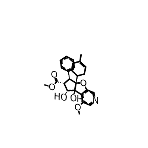 COC(=O)[C@H]1[C@@H](O)[C@@]2(O)c3c(OC)cncc3O[C@@]2(C2C=CC(C)=CC2)[C@@H]1c1ccccc1